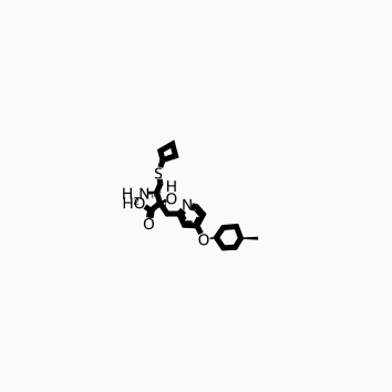 C[C@H]1CC[C@H](Oc2ccnc(C[C@](O)(C(=O)O)[C@@H](N)CSC3CCC3)c2)CC1